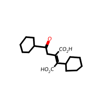 O=C(O)/C(CC(=O)C1CCCCC1)=C(/C(=O)O)C1CCCCC1